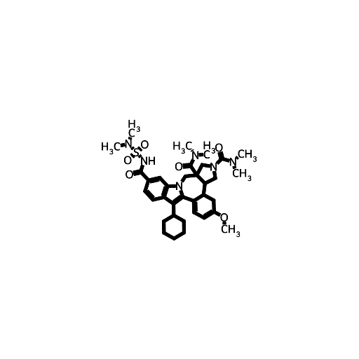 COC1=CC=C2c3c(C4CCCCC4)c4ccc(C(=O)NS(=O)(=O)N(C)C)cc4n3CC3(C(=O)N(C)C)CN(C(=O)N(C)C)CC3C2C1